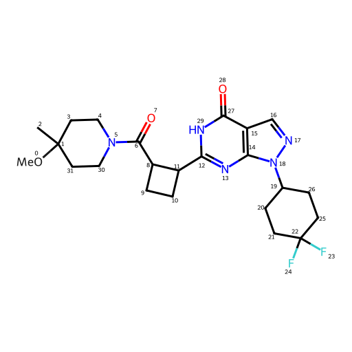 COC1(C)CCN(C(=O)C2CCC2c2nc3c(cnn3C3CCC(F)(F)CC3)c(=O)[nH]2)CC1